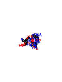 CCNC(=O)[C@@H]1CCCN1C(=O)[C@H](CCCNC(=N)N)NC(=O)[C@H](CC(C)C)NC(=O)[C@@H](COC(C)(C)C)NC(=O)[C@H](Cc1ccc(O)cc1)NC(=O)[C@H](CO)NC(=O)[C@H](Cc1c[nH]c2ccccc12)NC(=O)[C@H](Cc1c[nH]cn1)NC(=O)[C@@H]1CCC(=O)N1.CN(C)c1ccc([C@H]2C[C@@]3(C)[C@@H](CC[C@@]3(O)/C=C\CO)[C@@H]3CCC4=CC(=O)CCC4=C32)cc1